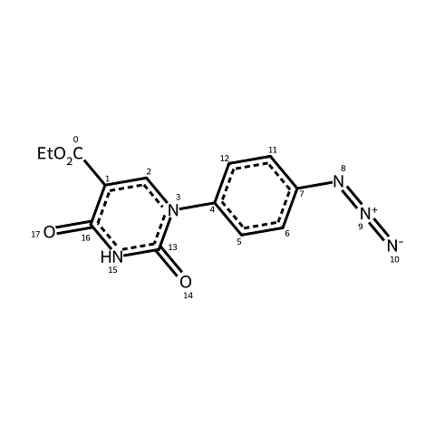 CCOC(=O)c1cn(-c2ccc(N=[N+]=[N-])cc2)c(=O)[nH]c1=O